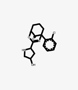 O=C1C2CCCC1(c1ccccc1Cl)N=C(C1CC(O)CN1)O2